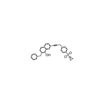 O=S(=O)(c1ccc(CC#Cc2ccc3ccc(Cc4ccccc4)c(O)c3c2)cc1)N1CC1